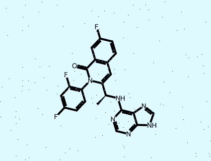 C[C@H](Nc1ncnc2[nH]cnc12)c1cc2ccc(F)cc2c(=O)n1-c1ccc(F)cc1F